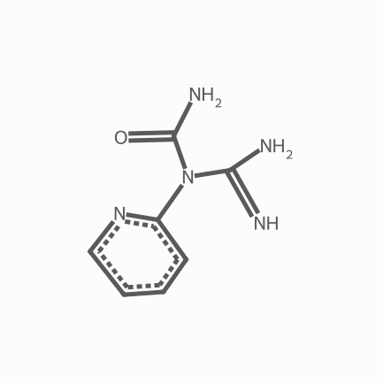 N=C(N)N(C(N)=O)c1ccccn1